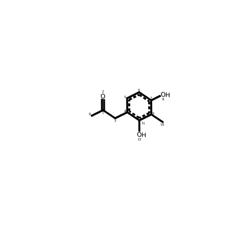 CC(=O)Cc1ccc(O)c(C)c1O